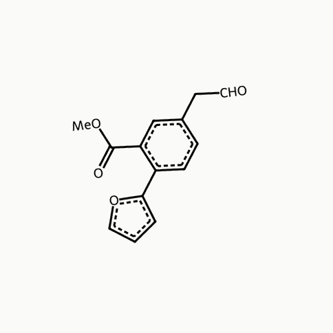 COC(=O)c1cc(CC=O)ccc1-c1ccco1